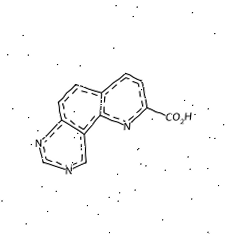 O=C(O)c1ccc2ccc3ncncc3c2n1